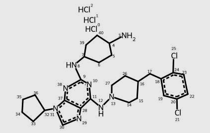 Cl.Cl.Cl.NC1CCC(Nc2nc(NN3CCC(Cc4cc(Cl)ccc4Cl)CC3)c3ncn(C4CCCC4)c3n2)CC1